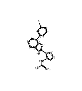 C=C(Nc1c[nH]nc1-c1nc2c(-c3cccc(F)c3)cncc2[nH]1)C(F)(F)F